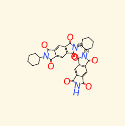 O=c1[nH]c(=O)c2cc3c(=O)n([C@H]4CCCC[C@@H]4n4c(=O)c5cc6c(=O)n(C7CCCCC7)c(=O)c6cc5c4=O)c(=O)c3cc12